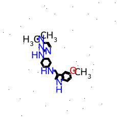 COc1ccc2[nH]cc(CNC3CCC(Nc4nccc(N(C)C)n4)CC3)c2c1